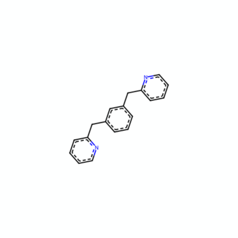 c1ccc(Cc2cccc(Cc3ccccn3)c2)nc1